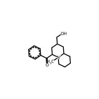 C[N+]12CCCCC1CC(CO)CC2C(=O)c1ccccc1